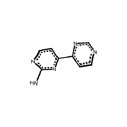 [NH]c1nccc(-c2ccncn2)n1